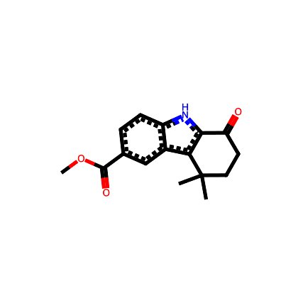 COC(=O)c1ccc2[nH]c3c(c2c1)C(C)(C)CCC3=O